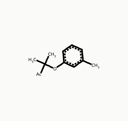 CC(=O)C(C)(C)Oc1cccc(C)c1